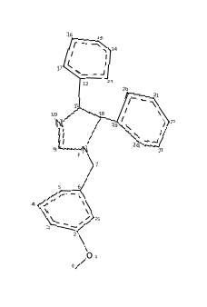 COc1cccc(CN2C=NC(c3ccccc3)C2c2ccccc2)c1